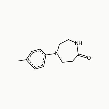 Cc1ccc(N2CCNC(=O)CC2)cc1